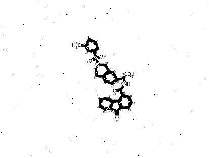 Cc1cccc(S(=O)(=O)N2CCc3ccc(C(NC(=O)c4cccc5c4-c4ccccc4C5=O)C(=O)O)cc3C2)c1